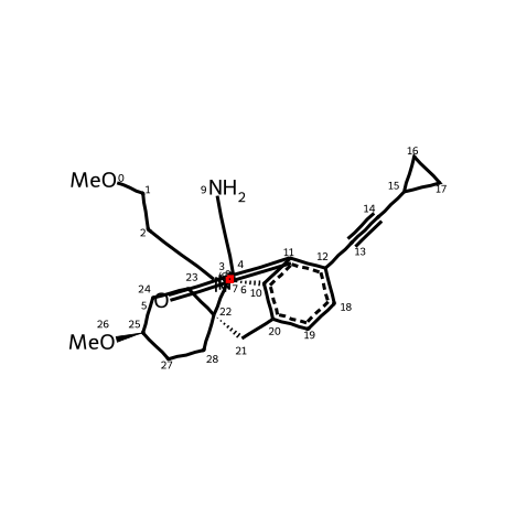 COCCN1C(=O)[C@@]2(N=C1N)c1cc(C#CC3CC3)ccc1C[C@]21CC[C@H](OC)CC1